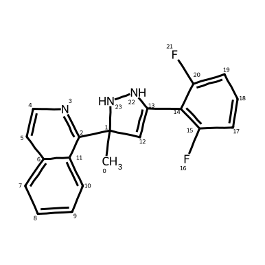 CC1(c2nccc3ccccc23)C=C(c2c(F)cccc2F)NN1